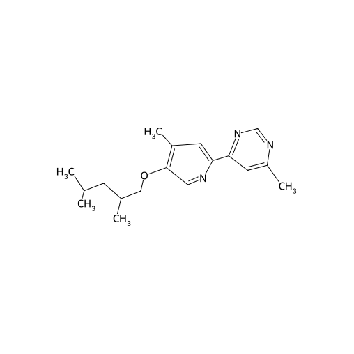 Cc1cc(-c2cc(C)c(OCC(C)CC(C)C)cn2)ncn1